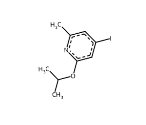 Cc1cc(I)cc(OC(C)C)n1